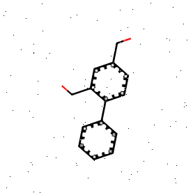 OCc1ccc(-c2ccccc2)c(CO)c1